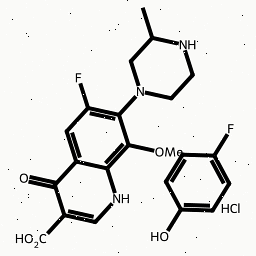 COc1c(N2CCNC(C)C2)c(F)cc2c(=O)c(C(=O)O)c[nH]c12.Cl.Oc1ccc(F)cc1